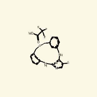 Clc1cnc2nc1Nc1cccc(c1)COCc1cccc(c1)N2.O=C(O)C(F)(F)F